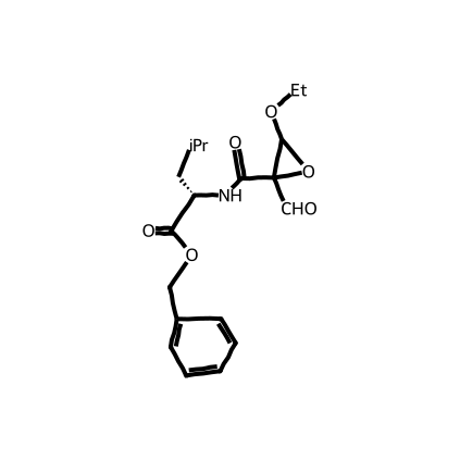 CCOC1OC1(C=O)C(=O)N[C@@H](CC(C)C)C(=O)OCc1ccccc1